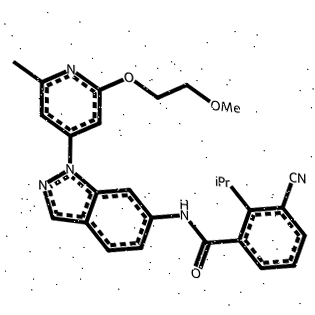 COCCOc1cc(-n2ncc3ccc(NC(=O)c4cccc(C#N)c4C(C)C)cc32)cc(C)n1